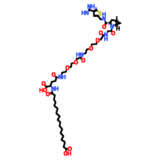 C[C@@]12C[C@@H]1N(C(=O)CNC(=O)COCCOCCNC(=O)COCCOCCNC(=O)CCC(NC(=O)CCCCCCCCCCCCCCCCC(=O)O)C(=O)O)[C@H](C(=O)NCc1cc(C(=N)N)cs1)C2